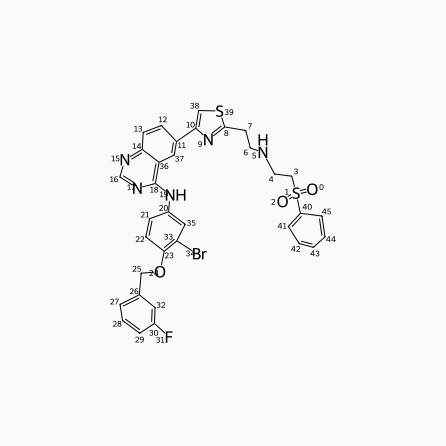 O=S(=O)(CCNCCc1nc(-c2ccc3ncnc(Nc4ccc(OCc5cccc(F)c5)c(Br)c4)c3c2)cs1)c1ccccc1